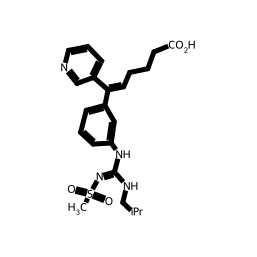 CC(C)CNC(=NS(C)(=O)=O)Nc1cccc(C(=CCCCC(=O)O)c2cccnc2)c1